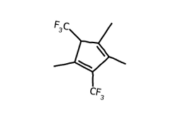 CC1=C(C)C(C(F)(F)F)C(C)=C1C(F)(F)F